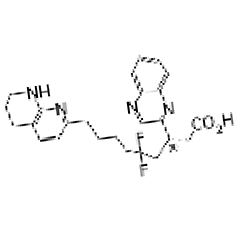 O=C(O)C[C@H](CC(F)(F)CCCCc1ccc2c(n1)NCCC2)c1cnc2ccccc2n1